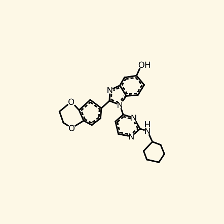 Oc1ccc2c(c1)nc(-c1ccc3c(c1)OCCO3)n2-c1ccnc(NC2CCCCC2)n1